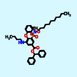 CCCCCCCCCCON(C)S(=O)(=O)c1cc(C(=O)OC(c2ccccc2)c2ccccc2)cc(NCCCC)c1Oc1ccccc1